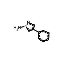 Nn1cc(-c2ccccc2)cn1